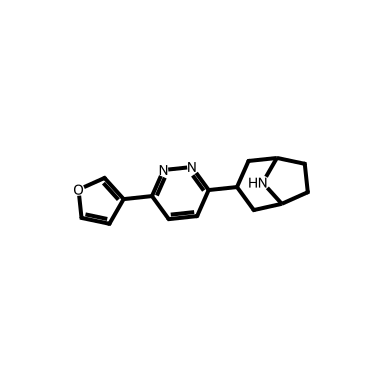 c1cc(-c2ccc(C3CC4CCC(C3)N4)nn2)co1